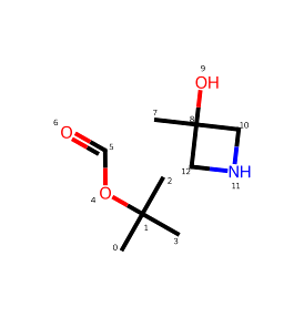 CC(C)(C)OC=O.CC1(O)CNC1